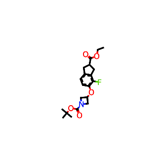 CCOC(=O)C1Cc2ccc(OC3CN(C(=O)OC(C)(C)C)C3)c(F)c2C1